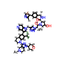 CC(=O)N1CCc2c(c(N3CCCc4cc(-c5cn(Cc6cn([C@H](C(=O)N7C[C@H](O)C[C@H]7C(=O)N[C@@H](C)c7ccc(-c8scnc8C)cc7)C(C)C)nn6)c6ccncc56)c(C(F)F)cc43)nn2C2CCOCC2)C1